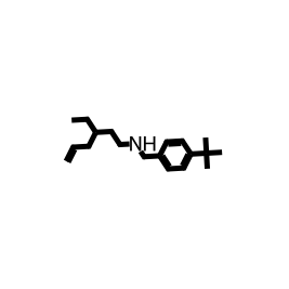 C=CCC(CC)CCNCc1ccc(C(C)(C)C)cc1